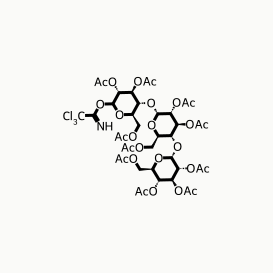 CC(=O)OC[C@H]1O[C@H](O[C@H]2[C@H](OC(C)=O)[C@@H](OC(C)=O)[C@@H](O[C@H]3[C@H](OC(C)=O)[C@@H](OC(C)=O)C(OC(=N)C(Cl)(Cl)Cl)O[C@@H]3COC(C)=O)O[C@@H]2COC(C)=O)[C@H](OC(C)=O)[C@@H](OC(C)=O)[C@@H]1OC(C)=O